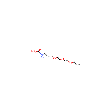 CCCOCCOCCOCCCNC(=O)O